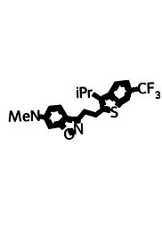 CNc1ccc2c(CCc3sc4cc(C(F)(F)F)ccc4c3C(C)C)noc2c1